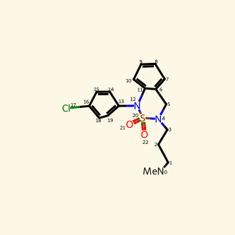 CNCCCN1Cc2ccccc2N(c2ccc(Cl)cc2)S1(=O)=O